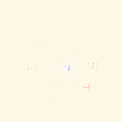 O=C1CC(CO)(CC2=CCC=CO2)N(C(=S)S)C1O